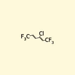 FC(F)(F)/C=C(Cl)/C=C/C(F)(F)F